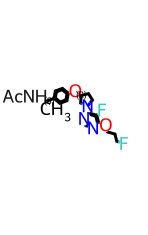 CC(=O)N[C@@H](C)c1ccc(O[C@@H]2CCN(c3ncnc(OCCCF)c3F)C2)cc1